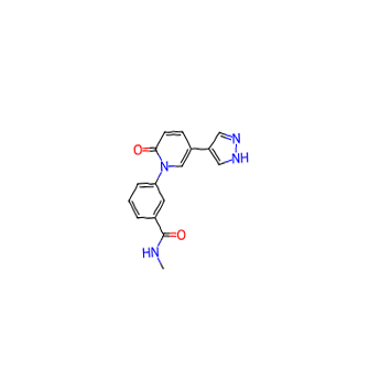 CNC(=O)c1cccc(-n2cc(-c3cn[nH]c3)ccc2=O)c1